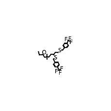 CCC(=O)CC(C)(C)CCC(CCSCc1ccc(C(F)(F)F)cc1)SCc1ccc(C(F)(F)F)cc1